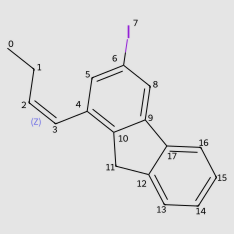 CC/C=C\c1cc(I)cc2c1Cc1ccccc1-2